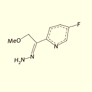 COCC(=NN)c1ccc(F)cn1